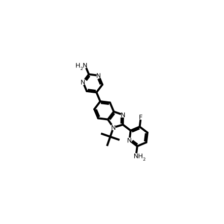 CC(C)(C)n1c(-c2nc(N)ccc2F)nc2cc(-c3cnc(N)nc3)ccc21